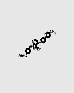 COc1ccc(Cn2nc(Br)c3c(Oc4ccc(-c5ccc(C(F)(F)F)cn5)cc4)ccnc32)cc1